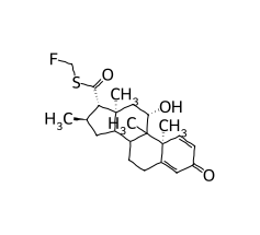 C[C@@H]1CC2C3CCC4=CC(=O)C=C[C@]4(C)C3(C)[C@@H](O)C[C@]2(C)[C@H]1C(=O)SCF